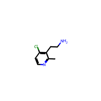 Cc1nccc(Cl)c1CCN